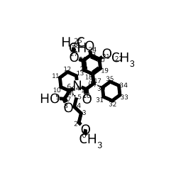 COCCCC[C@]1(C(=O)O)CCCCN1C(=O)[C@H](c1cc(OC)c(OC)c(OC)c1)C1CCCCC1